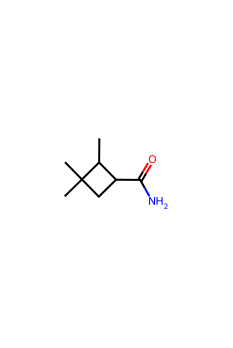 CC1C(C(N)=O)CC1(C)C